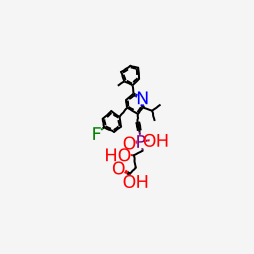 Cc1ccccc1-c1cc(-c2ccc(F)cc2)c(C#CP(=O)(O)CC(O)CC(=O)O)c(C(C)C)n1